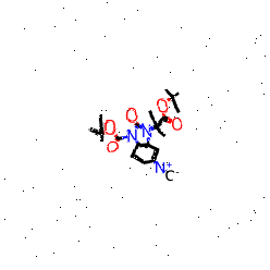 [C-]#[N+]c1ccc2c(c1)n(C(C)(C)C(=O)OC(C)(C)C)c(=O)n2C(=O)OC(C)(C)C